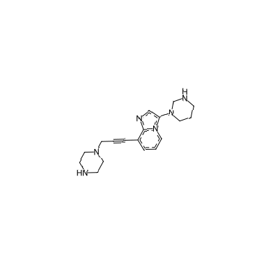 C(#Cc1cccn2c(N3CCCNC3)cnc12)CN1CCNCC1